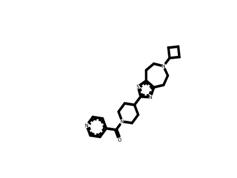 O=C(c1ccncc1)N1CCC(c2nc3c(s2)CCN(C2CCC2)CC3)CC1